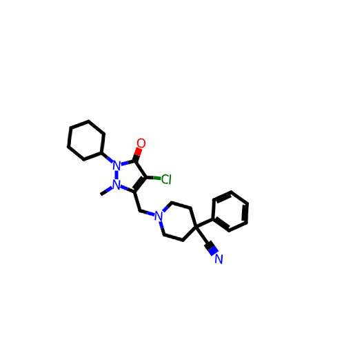 Cn1c(CN2CCC(C#N)(c3ccccc3)CC2)c(Cl)c(=O)n1C1CCCCC1